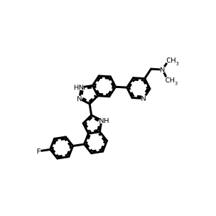 CN(C)Cc1cncc(-c2ccc3[nH]nc(-c4cc5c(-c6ccc(F)cc6)cccc5[nH]4)c3c2)c1